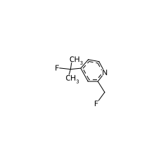 CC(C)(F)c1ccnc(CF)c1